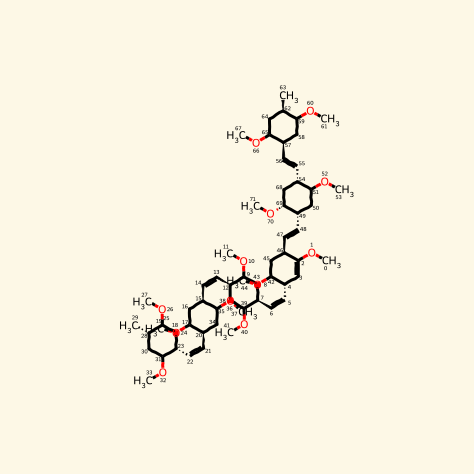 COC1=C[C@H](/C=C\[C@@H]2CC(OC)[C@H](/C=C\[C@@H]3CC(OC)[C@H](/C=C\[C@H]4CC(OC)[C@@H](C)CC4OC)CC3OC)CC2OC)C(OC)C[C@H]1/C=C/[C@H]1CC(OC)[C@@H](/C=C/[C@@H]2CC(OC)[C@H](C)CC2OC)C[C@H]1OC